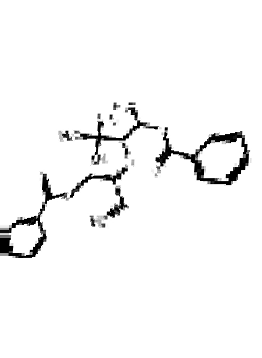 C[C@@H](OC(=O)c1ccccc1)[C@@H](O[C@@H](CO)COC(=O)c1ccccc1)C(C)(C)C